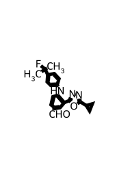 CC(C)(F)c1ccc(Nc2ccc(C=O)cc2-c2nnc(C3CC3)o2)cc1